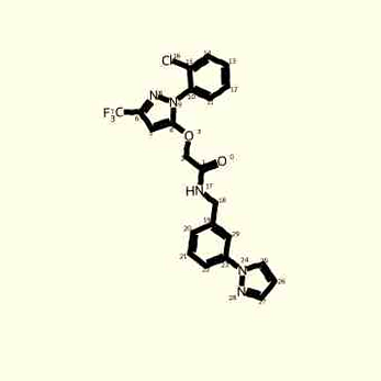 O=C(COc1cc(C(F)(F)F)nn1-c1ccccc1Cl)NCc1cccc(-n2cccn2)c1